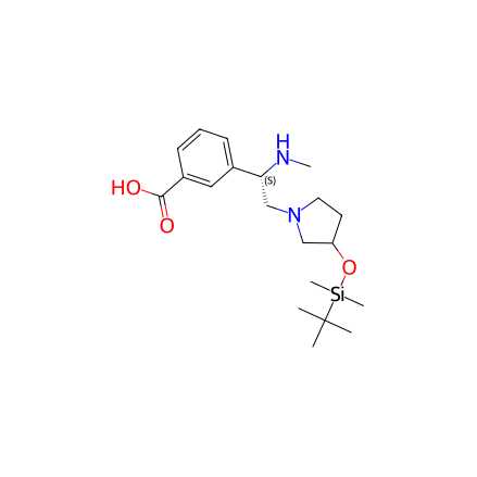 CN[C@H](CN1CCC(O[Si](C)(C)C(C)(C)C)C1)c1cccc(C(=O)O)c1